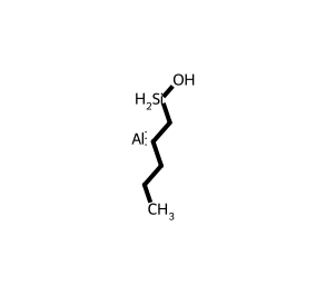 CCCCC[SiH2]O.[Al]